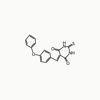 O=C1NC(=S)NC(=O)C1=Cc1ccc(Oc2ccccc2)cc1